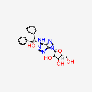 OC[C@H]1O[C@@H](n2cnc3c(N[C@@H](c4ccccc4)[C@H](O)c4ccccc4)ncnc32)C(O)C1O